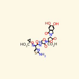 Nc1nc(/C(=N/OC2(C(=O)O)CC2)C(=O)N[C@H]2CON(C3(C(=O)O)C[C@H](N4Cc5cc(O)c(O)cc5C4=O)C(=O)O3)C2=O)cs1